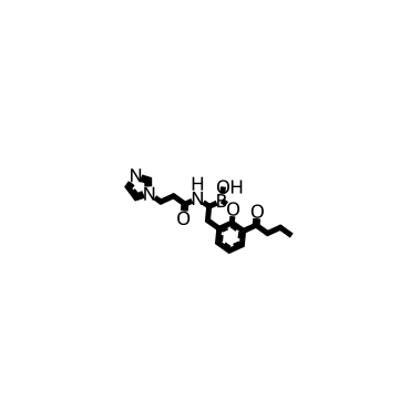 CCCC(=O)c1cccc2c1OB(O)C(NC(=O)CCn1ccnc1)C2